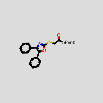 CCCCCC(=O)CSc1nc(-c2ccccc2)c(-c2ccccc2)o1